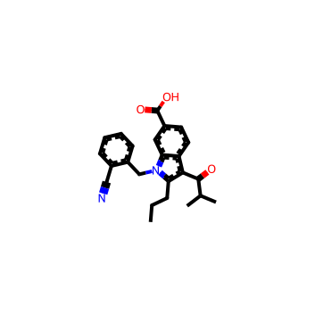 CCCc1c(C(=O)C(C)C)c2ccc(C(=O)O)cc2n1Cc1ccccc1C#N